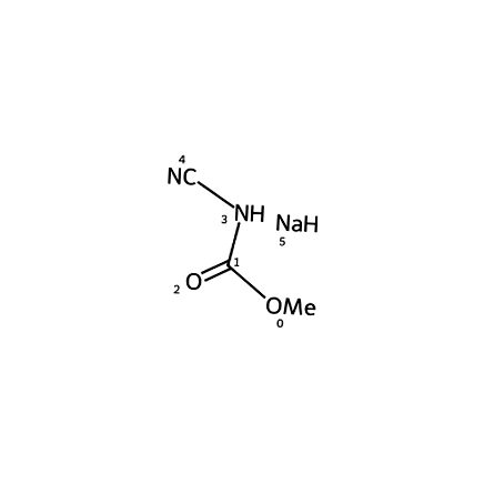 COC(=O)NC#N.[NaH]